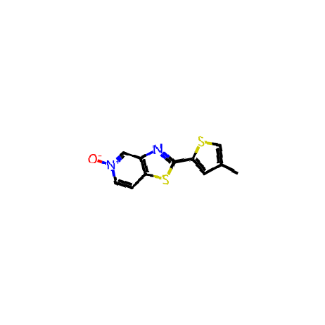 Cc1csc(-c2nc3c[n+]([O-])ccc3s2)c1